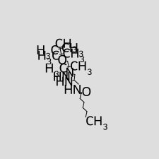 CCCCCCC(=O)NCC1CN(C(C)(C)COC(C)(C)C(C)(C)C)NN1